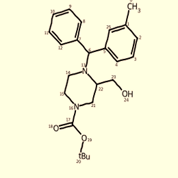 Cc1cccc(C(c2ccccc2)N2CCN(C(=O)OC(C)(C)C)CC2CO)c1